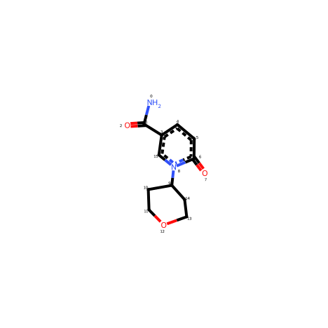 NC(=O)c1ccc(=O)n(C2CCOCC2)c1